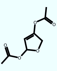 CC(=O)OC1=CC(OC(C)=O)OC1